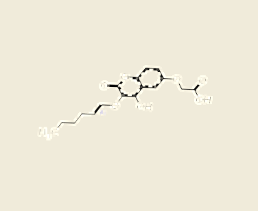 CCCC/C=C/Oc1c(O)c2cc(OCC(=O)O)ccc2oc1=O